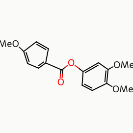 COc1ccc(C(=O)Oc2ccc(OC)c(OC)c2)cc1